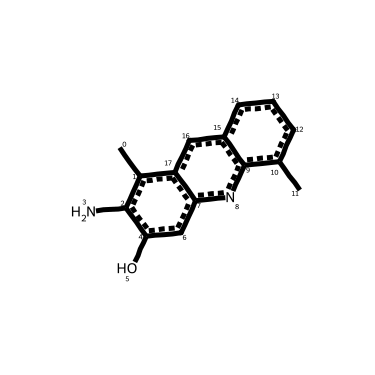 Cc1c(N)c(O)cc2nc3c(C)cccc3cc12